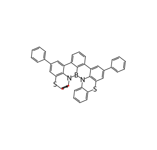 c1ccc(-c2cc3c4c(c2)-c2cccc5c2B(N4c2ccccc2S3)N2c3ccccc3Sc3cc(-c4ccccc4)cc-5c32)cc1